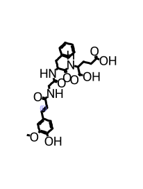 COc1cc(/C=C/C(=O)NCC(=O)NC(Cc2ccccc2)C(=O)NC(CCC(=O)O)C(=O)O)ccc1O